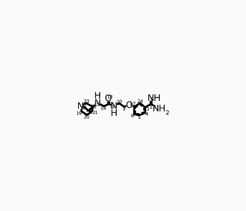 N=C(N)c1cccc(OCCNC(=O)CNC2CN3CCC2CC3)c1